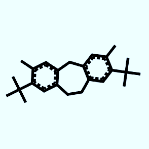 Cc1cc2c(cc1C(C)(C)C)CCc1cc(C(C)(C)C)c(C)cc1C2